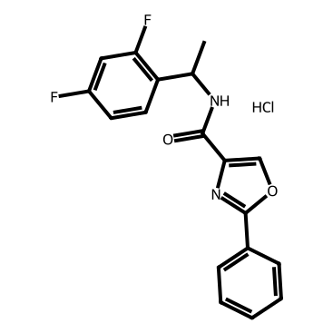 CC(NC(=O)c1coc(-c2ccccc2)n1)c1ccc(F)cc1F.Cl